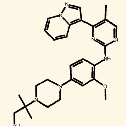 COc1cc(N2CCN(C(C)(C)CO)CC2)ccc1Nc1ncc(C)c(-c2cnn3ccccc23)n1